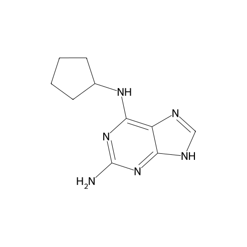 Nc1nc(NC2CCCC2)c2nc[nH]c2n1